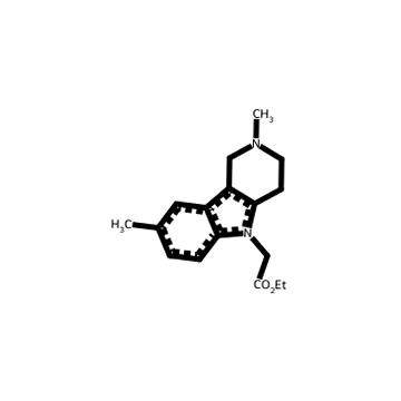 CCOC(=O)Cn1c2c(c3cc(C)ccc31)CN(C)CC2